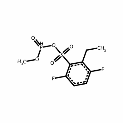 CCc1c(F)ccc(F)c1S(=O)(=O)O[PH](=O)OC